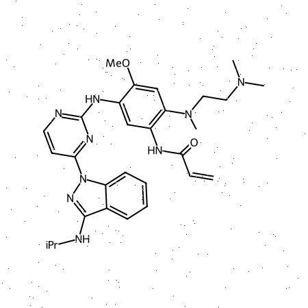 C=CC(=O)Nc1cc(Nc2nccc(-n3nc(NC(C)C)c4ccccc43)n2)c(OC)cc1N(C)CCN(C)C